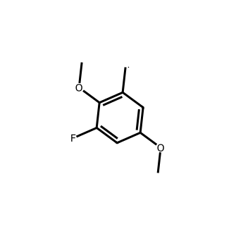 [CH2]c1cc(OC)cc(F)c1OC